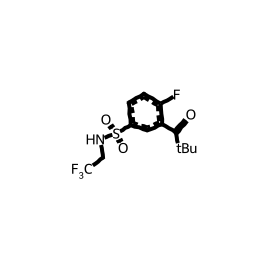 CC(C)(C)C(=O)c1cc(S(=O)(=O)NCC(F)(F)F)ccc1F